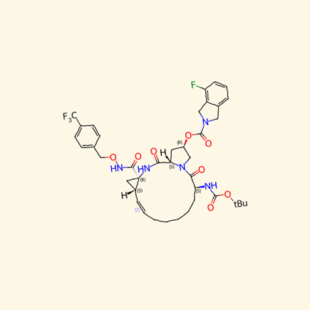 CC(C)(C)OC(=O)N[C@H]1CCCCC/C=C\[C@@H]2C[C@@]2(C(=O)NOCc2ccc(C(F)(F)F)cc2)NC(=O)[C@@H]2C[C@@H](OC(=O)N3Cc4cccc(F)c4C3)CN2C1=O